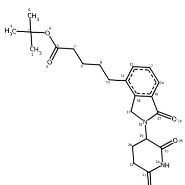 CC(C)(C)OC(=O)CCCCc1cccc2c1CN(C1CCC(=O)NC1=O)C2=O